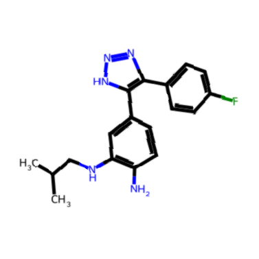 CC(C)CNc1cc(-c2[nH]nnc2-c2ccc(F)cc2)ccc1N